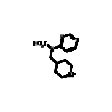 O=C(O)N(CC1CCNCC1)c1ccncn1